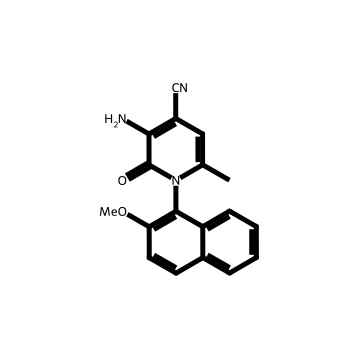 COc1ccc2ccccc2c1-n1c(C)cc(C#N)c(N)c1=O